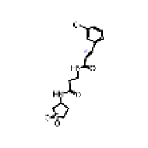 O=C(/C=C/c1cccc(Cl)c1)NCCC(=O)NC1CCS(=O)(=O)C1